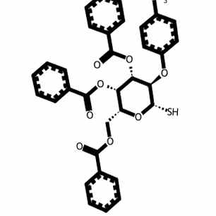 Cc1ccc(O[C@@H]2[C@@H](OC(=O)c3ccccc3)[C@@H](OC(=O)c3ccccc3)[C@@H](COC(=O)c3ccccc3)O[C@H]2S)cc1